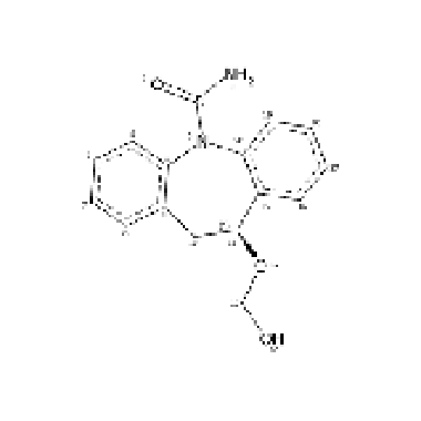 NC(=O)N1c2ccccc2C[C@H](OCO)c2ccccc21